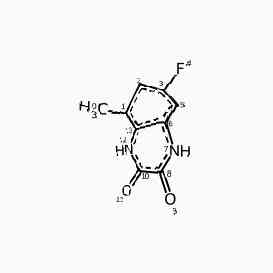 Cc1cc(F)cc2[nH]c(=O)c(=O)[nH]c12